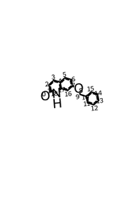 O=c1ccc2ccc(OCc3ccccc3)cc2[nH]1